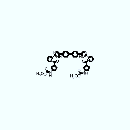 COC(=O)N[C@@H]1CC[C@H](C(=O)N2CCC[C@H]2c2ncc(-c3ccc(-c4ccc(-c5cnc([C@@H]6CCCN6C(=O)[C@H]6CC[C@@H](NC(=O)OC)C6)[nH]5)cc4)cc3)[nH]2)C1